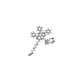 N#CCCOP(=O)(OCCC#N)OCC1O[C@H](OCCOCCOCCN=[N+]=[N-])C(OC(=O)c2ccccc2)C(OC(=O)c2ccccc2)[C@@H]1OC(=O)c1ccccc1